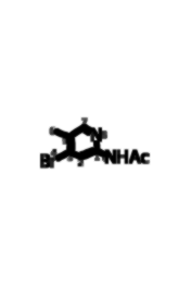 CC(=O)Nc1cc(Br)c(C)cn1